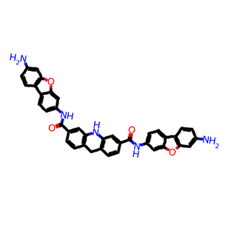 Nc1ccc2c(c1)oc1cc(NC(=O)c3ccc4c(c3)Nc3cc(C(=O)Nc5ccc6c(c5)oc5cc(N)ccc56)ccc3C4)ccc12